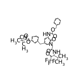 CC(C)C(NC(=O)Cn1cc(Cc2cccc(OC(=O)C(C)(C)C)c2)cc(NC(=O)OCc2ccccc2)c1=O)C(=O)C(F)(F)F